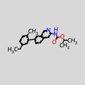 CCc1ccc(C)c(-c2ccc3cc(NC(=O)OC(C)C)ncc3c2)c1